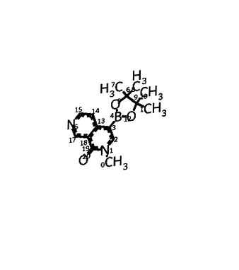 Cn1cc(B2OC(C)(C)C(C)(C)O2)c2ccncc2c1=O